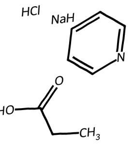 CCC(=O)O.Cl.[NaH].c1ccncc1